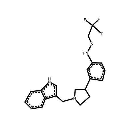 FC(F)(F)CSNc1cccc(C2CCN(Cc3c[nH]c4ccccc34)C2)c1